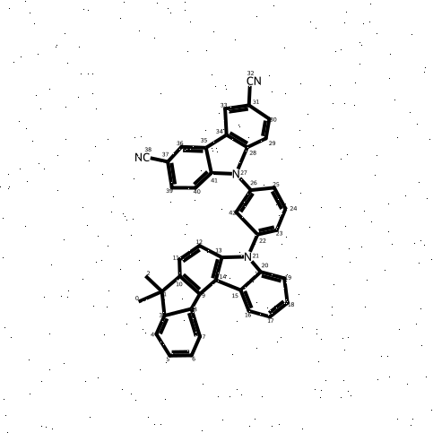 CC1(C)c2ccccc2-c2c1ccc1c2c2ccccc2n1-c1cccc(-n2c3ccc(C#N)cc3c3cc(C#N)ccc32)c1